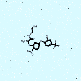 CC(Oc1cc(Oc2ccc(C(F)(F)F)cc2Cl)ccc1[N+](=O)[O-])C(=O)NCCO